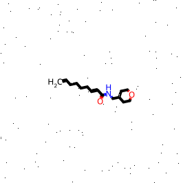 C=CCCCCC=CC(=O)NCC1CCOCC1